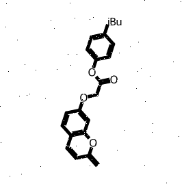 C=C1C=Cc2ccc(OCC(=O)Oc3ccc(C(C)CC)cc3)cc2O1